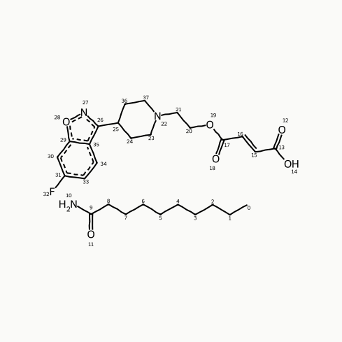 CCCCCCCCCC(N)=O.O=C(O)/C=C/C(=O)OCCN1CCC(c2noc3cc(F)ccc23)CC1